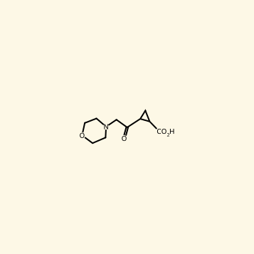 O=C(O)C1CC1C(=O)CN1CCOCC1